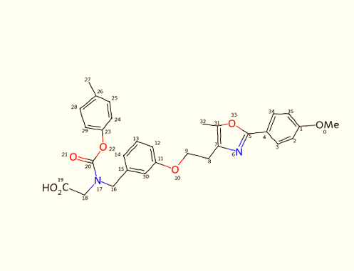 COc1ccc(-c2nc(CCOc3cccc(CN(CC(=O)O)C(=O)Oc4ccc(C)cc4)c3)c(C)o2)cc1